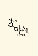 N#CC1(c2cccc(-c3ccc4c(C(N)=O)c(NC(N)=O)[nH]c4c3)c2)CC1